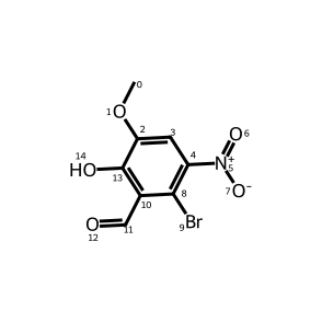 COc1cc([N+](=O)[O-])c(Br)c(C=O)c1O